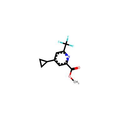 COC(=O)c1cc(C2CC2)cc(C(F)(F)F)n1